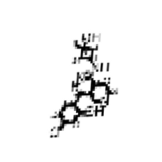 CC1(O)CC(Nc2nnc(-c3ccc(Cl)cc3O)c3cnccc23)C1